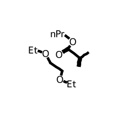 C=C(C)C(=O)OCCC.CCOCCOCC